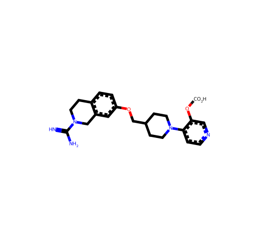 N=C(N)N1CCc2ccc(OCC3CCN(c4ccncc4OC(=O)O)CC3)cc2C1